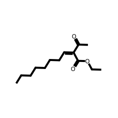 CCCCCCCC=C(C(C)=O)C(=O)OCC